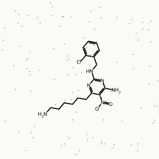 NCCCCCCc1nc(NCc2ccccc2Cl)nc(N)c1[N+](=O)[O-]